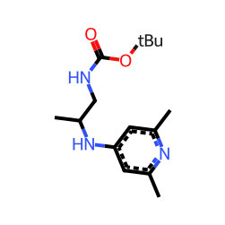 Cc1cc(NC(C)CNC(=O)OC(C)(C)C)cc(C)n1